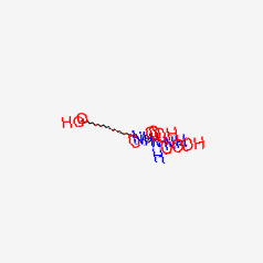 O=C(O)CCCCCCCCCCCCCCCCCCC(=O)NC[C@H]1CC[C@H](C(=O)N[C@@H](CCC(=O)NCCOCCO)C(=O)O)CC1